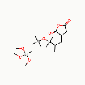 CO[Si](CC[Si](C)(C)O[Si](C)(C)C(C)CC1CC(=O)OC1=O)(OC)OC